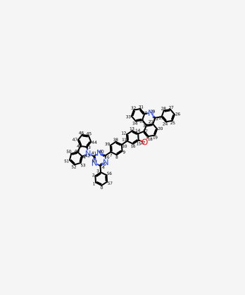 c1ccc(-c2nc(-c3ccc(-c4ccc5c(c4)oc4ccc6c(-c7ccccc7)nc7ccccc7c6c45)cc3)nc(-n3c4ccccc4c4ccccc43)n2)cc1